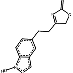 O=C1N=C(CCc2ccc3c(cnn3O)c2)CO1